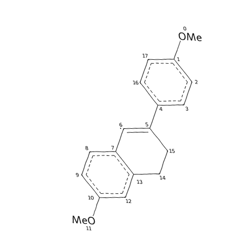 COc1ccc(C2=[C]c3ccc(OC)cc3CC2)cc1